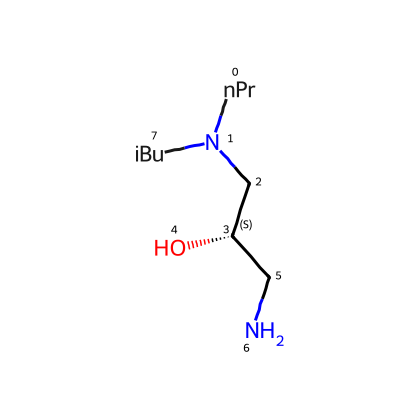 CCCN(C[C@@H](O)CN)C(C)CC